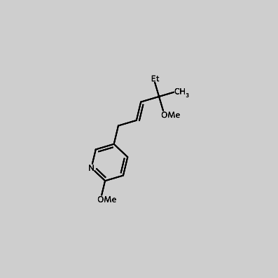 CCC(C)(C=CCc1ccc(OC)nc1)OC